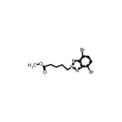 COC(=O)CCCCn1nc2c(Br)ccc(Br)c2n1